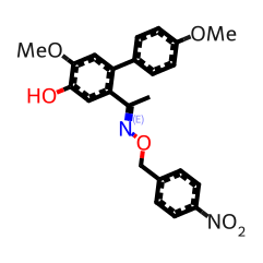 COc1ccc(-c2cc(OC)c(O)cc2/C(C)=N/OCc2ccc([N+](=O)[O-])cc2)cc1